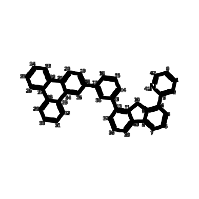 c1ccc(-c2cccc3c2Cc2c(-c4cccc(-c5ccc6c7ccccc7c7ccccc7c6c5)c4)cccc2-3)nc1